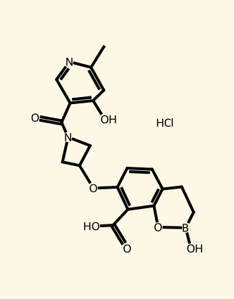 Cc1cc(O)c(C(=O)N2CC(Oc3ccc4c(c3C(=O)O)OB(O)CC4)C2)cn1.Cl